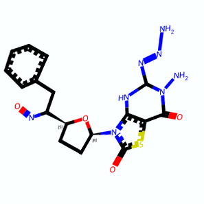 NN=NC1Nc2c(sc(=O)n2[C@H]2CC[C@@H](C(Cc3ccccc3)N=O)O2)C(=O)N1N